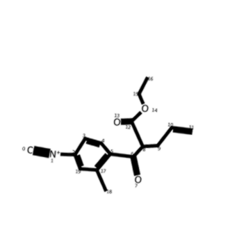 [C-]#[N+]c1ccc(C(=O)C(CC=C)C(=O)OCC)c(C)c1